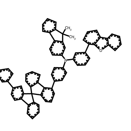 CC1(C)c2ccccc2-c2ccc(N(c3ccc(-c4cccc5c4-c4ccccc4C54c5ccccc5-c5ccc(-c6ccccc6)cc54)cc3)c3cccc(-c4cccc5c4oc4ccccc45)c3)cc21